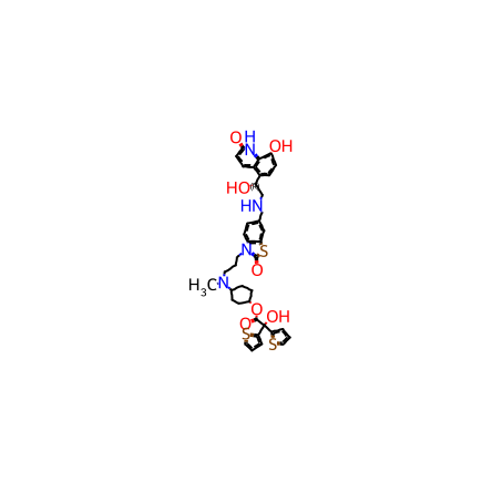 CN(CCCn1c(=O)sc2cc(CNC[C@H](O)c3ccc(O)c4[nH]c(=O)ccc34)ccc21)C1CCC(OC(=O)C(O)(c2cccs2)c2cccs2)CC1